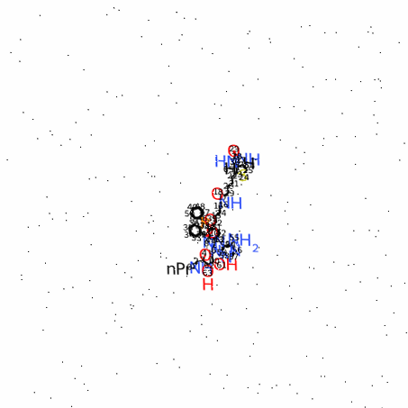 CCCNC[C@H]1O[C@@H](n2c(/N=C(\OCCCCCNC(=O)CCCC[C@@H]3SC[C@H]4NC(=O)N[C@@H]34)c3ccccc3P(=O)(c3ccccc3)c3ccccc3)nc3c(N)ncnc32)[C@@H](O)C1O